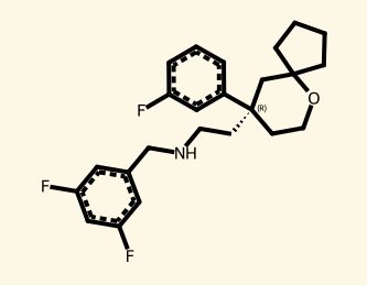 Fc1cc(F)cc(CNCC[C@@]2(c3cccc(F)c3)CCOC3(CCCC3)C2)c1